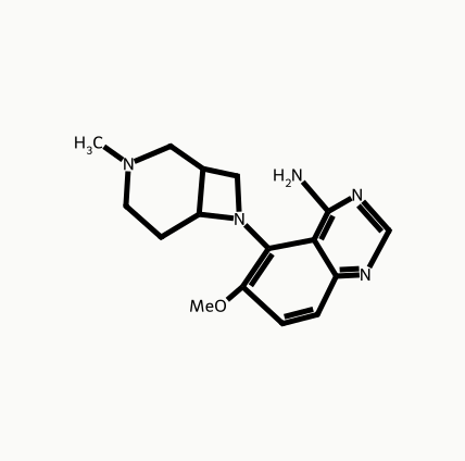 COc1ccc2ncnc(N)c2c1N1CC2CN(C)CCC21